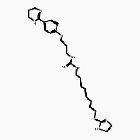 N=C(NCCCCCCCCNC1=NCCN1)NCCCOc1ccc(C2=NCCCN2)cc1